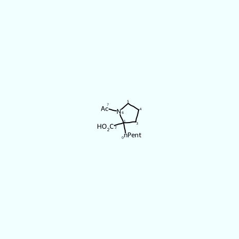 CCCCCC1(C(=O)O)CCCN1C(C)=O